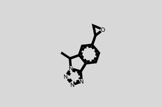 CC1c2cc(C3CO3)ccc2-c2nnnn21